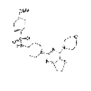 COc1ccc(S(=O)(=O)NC2CCN(c3nc(N4CCOCC4)c4sccc4n3)CC2)cc1